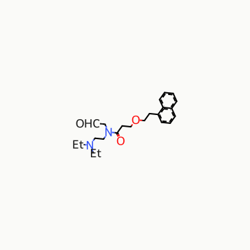 CCN(CC)CCN(CC=O)C(=O)CCOCCc1cccc2ccccc12